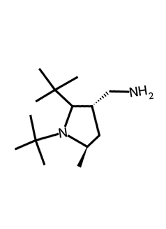 C[C@@H]1C[C@@H](CN)C(C(C)(C)C)N1C(C)(C)C